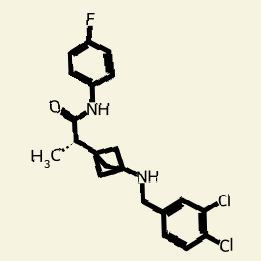 C[C@H](C(=O)Nc1ccc(F)cc1)C12CC(NCc3ccc(Cl)c(Cl)c3)(C1)C2